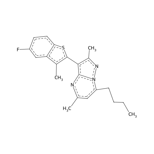 CCCCc1cc(C)nc2c(-c3sc4ccc(F)cc4c3C)c(C)nn12